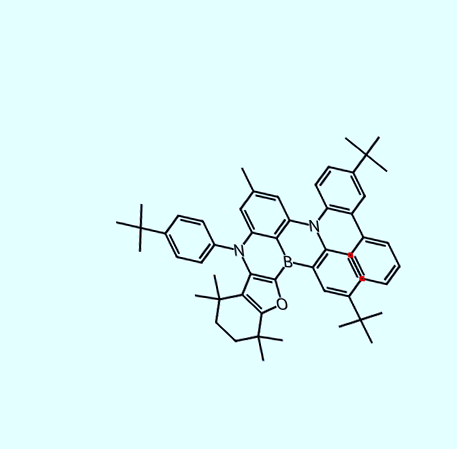 Cc1cc2c3c(c1)N(c1ccc(C(C)(C)C)cc1)c1c(oc4c1C(C)(C)CCC4(C)C)B3c1cc(C(C)(C)C)ccc1N2c1ccc(C(C)(C)C)cc1-c1ccccc1